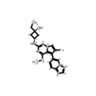 CC[C@]1(O)C[C@@H](Nc2nc(OC)c3c(-c4ccc5ncnn5c4)c(F)cn3n2)C1